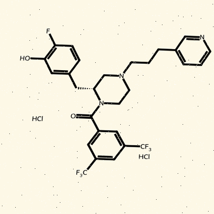 Cl.Cl.O=C(c1cc(C(F)(F)F)cc(C(F)(F)F)c1)N1CCN(CCCc2cccnc2)C[C@H]1Cc1ccc(F)c(O)c1